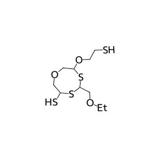 CCOCC1SC(S)COCC(OCCS)S1